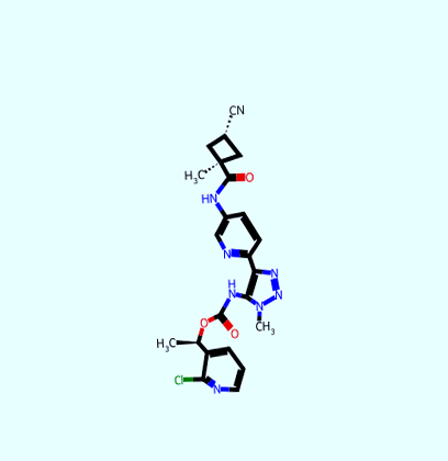 C[C@@H](OC(=O)Nc1c(-c2ccc(NC(=O)[C@]3(C)C[C@@H](C#N)C3)cn2)nnn1C)c1cccnc1Cl